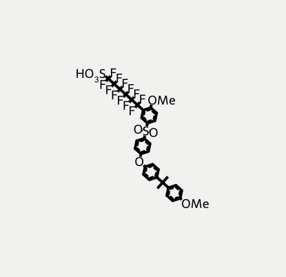 COc1ccc(C(C)(C)c2ccc(Oc3ccc(S(=O)(=O)c4ccc(OC)c(C(F)(F)C(F)(F)C(F)(F)C(F)(F)C(F)(F)C(F)(F)S(=O)(=O)O)c4)cc3)cc2)cc1